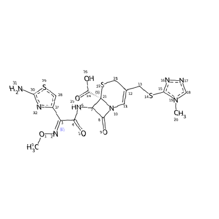 CO/N=C(/C(=O)NC1C(=O)N2C=C(CSc3nncn3C)CS[C@]12C(=O)O)c1csc(N)n1